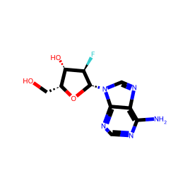 Nc1ncnc2c1ncn2[C@@H]1O[C@H](CO)[C@H](O)[C@H]1F